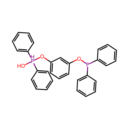 O[PH](Oc1cccc(OP(c2ccccc2)c2ccccc2)c1)(c1ccccc1)c1ccccc1